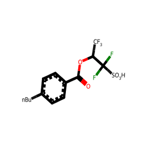 CCCCc1ccc(C(=O)OC(C(F)(F)F)C(F)(F)S(=O)(=O)O)cc1